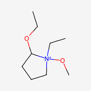 CCOC1CCC[N+]1(CC)OC